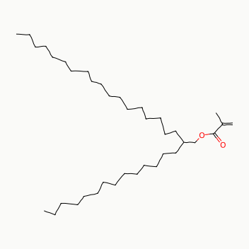 C=C(C)C(=O)OCC(CCCCCCCCCCCCCC)CCCCCCCCCCCCCCCCCC